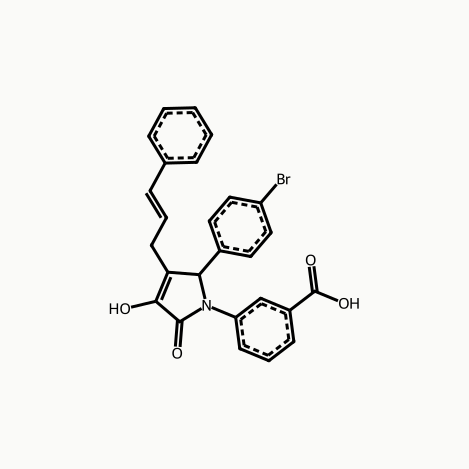 O=C(O)c1cccc(N2C(=O)C(O)=C(CC=Cc3ccccc3)C2c2ccc(Br)cc2)c1